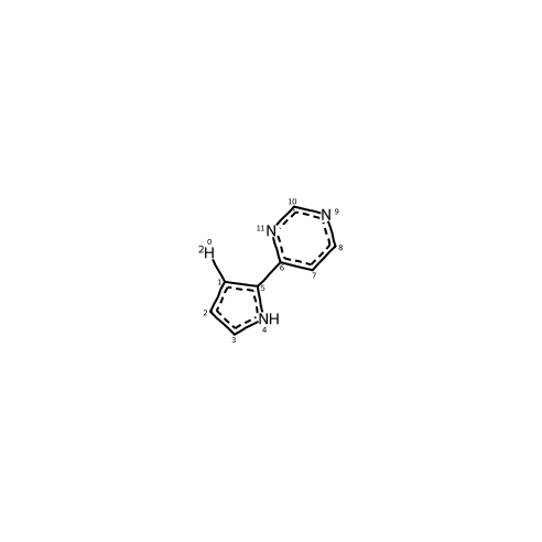 [2H]c1cc[nH]c1-c1ccn[c]n1